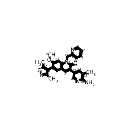 COc1cc2c(cc1-c1c(C)noc1C)cc(-c1cnc(N)c(C)c1)c(=O)n2Cc1ccccn1